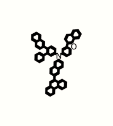 c1ccc(-c2cc(N(c3ccc4cc(-c5cc6ccccc6c6ccccc56)ccc4c3)c3ccc4oc5c6ccccc6ccc5c4c3)ccc2-c2ccc3ccccc3c2)cc1